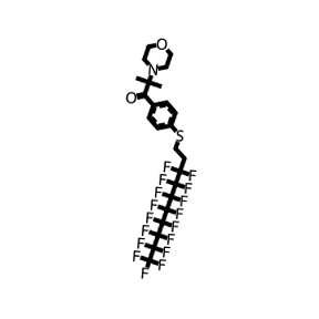 CC(C)(C(=O)c1ccc(SCCC(F)(F)C(F)(F)C(F)(F)C(F)(F)C(F)(F)C(F)(F)C(F)(F)C(F)(F)F)cc1)N1CCOCC1